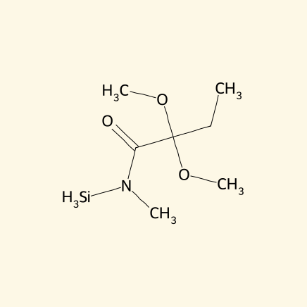 CCC(OC)(OC)C(=O)N(C)[SiH3]